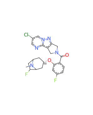 CN1C2CC(F)C1C[C@@H](Oc1cc(F)ccc1C(=O)N1Cc3nn4cc(Cl)cnc4c3C1)C2